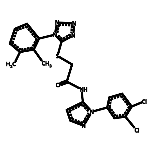 Cc1cccc(-n2nnnc2SCC(=O)Nc2ccnn2-c2ccc(Cl)c(Cl)c2)c1C